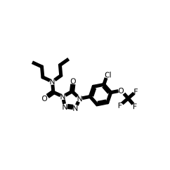 CCCN(CCC)C(=O)n1nnn(-c2ccc(OC(F)(F)F)c(Cl)c2)c1=O